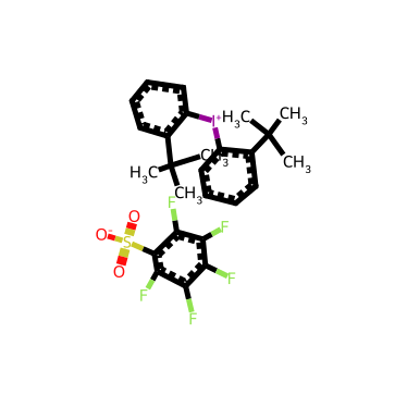 CC(C)(C)c1ccccc1[I+]c1ccccc1C(C)(C)C.O=S(=O)([O-])c1c(F)c(F)c(F)c(F)c1F